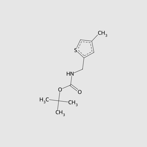 Cc1csc(CNC(=O)OC(C)(C)C)c1